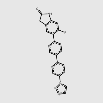 O=C1Cc2cc(-c3ccc(-c4ccc(-n5ccnn5)cc4)cc3)c(F)cc2N1